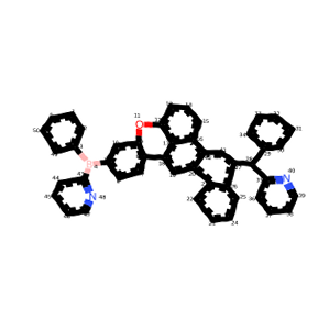 c1ccc(B(c2ccc3c(c2)Oc2cccc4c2c-3cc2c3ccccc3c(C(c3ccccc3)c3ccccn3)cc42)c2ccccn2)cc1